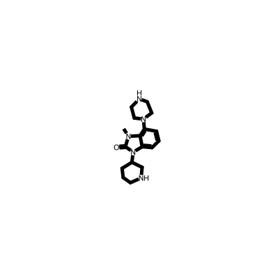 Cn1c(=O)n(C2CCCNC2)c2cccc(N3CCNCC3)c21